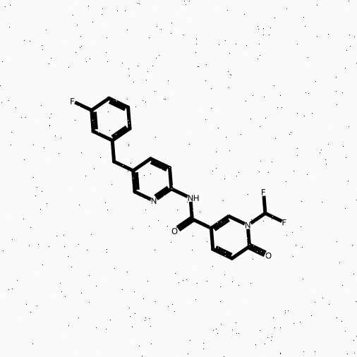 O=C(Nc1ccc(Cc2cccc(F)c2)cn1)c1ccc(=O)n(C(F)F)c1